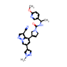 COc1ccc(C(C)NC(=O)N2CC=C(c3cc(-c4cnn(C)c4)cn4ncc(C#N)c34)C2)cn1